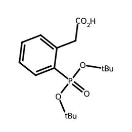 CC(C)(C)OP(=O)(OC(C)(C)C)c1ccccc1CC(=O)O